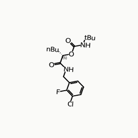 CCCC[C@H](OC(=O)NC(C)(C)C)C(=O)NCc1cccc(Cl)c1F